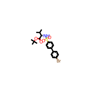 CC(C)[C@H](NS(=O)(=O)c1ccc(-c2ccc(Br)cc2)cc1)C(=O)OC(C)(C)C